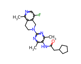 Cc1ncc(F)c2c1CCN(c1nc(C)c(NC(=O)CC3CCCC3)c(C)n1)C2